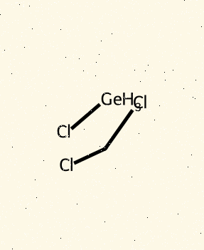 ClCCl.[Cl][GeH3]